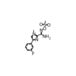 Cn1cc(-c2cccc(F)c2)nc1C(N)=NOS(C)(=O)=O